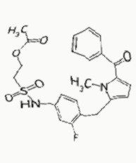 CC(=O)OCCS(=O)(=O)Nc1ccc(Cc2ccc(C(=O)c3ccccc3)n2C)c(F)c1